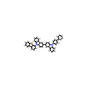 C1=CCCC(c2ccc(N3C4=CC=C(C5=CC6c7ccccc7N(c7cccc8c7sc7ccccc78)C6C=C5)CC4c4ccccc43)cc2)=C1